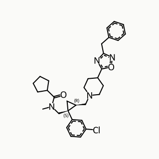 CN(C[C@@]1(c2cccc(Cl)c2)C[C@H]1CN1CCC(c2nc(Cc3ccccc3)no2)CC1)C(=O)C1CCCC1